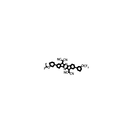 N#CC(C#N)=C1c2cc(-c3cccc(OC(F)F)c3)ccc2-c2nc3c(nc21)-c1ccc(-c2cccc(OC(F)(F)F)c2)cc1C3=C(C#N)C#N